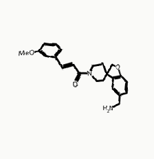 COc1cccc(C=CC(=O)N2CCC3(CC2)COc2ccc(CN)cc23)c1